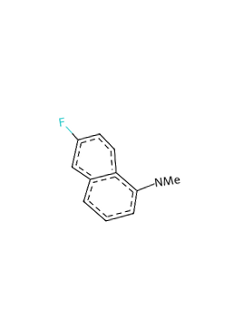 CNc1cccc2cc(F)ccc12